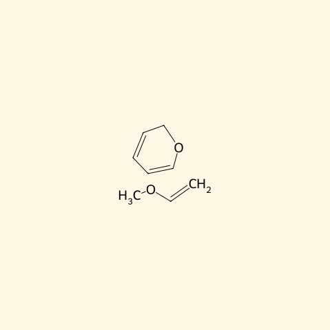 C1=CCOC=C1.C=COC